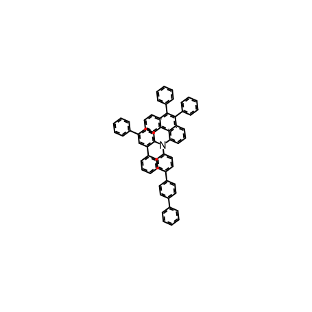 c1ccc(-c2ccc(-c3ccc(N(c4ccc(-c5ccccc5)cc4-c4ccccc4)c4cccc5c(-c6ccccc6)c(-c6ccccc6)c6ccccc6c45)cc3)cc2)cc1